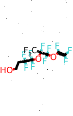 OCCC(F)(F)C(F)(F)OC(F)(C(F)(F)F)C(F)(F)OC(F)=C(F)F